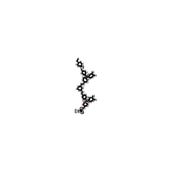 C=Cc1ccc(OCc2ccc(N(c3ccc(CCc4cccc(CCc5ccc(N(c6ccc(COC(=O)CC)cc6)c6ccc(C)c(C)c6)cc5)c4)cc3)c3ccc(C)c(C)c3)cc2)cc1